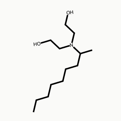 CCCCCCCC(C)N(CCO)CCO